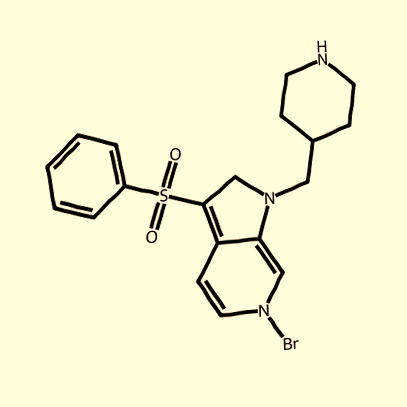 O=S(=O)(C1=C2C=CN(Br)C=C2N(CC2CCNCC2)C1)c1ccccc1